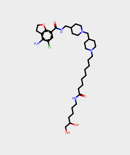 Nc1c(Cl)cc(C(=O)NCC2CCN(CC3CCN(CCCCCCCCC(=O)NCCCCC(O)CO)CC3)CC2)c2c1CCO2